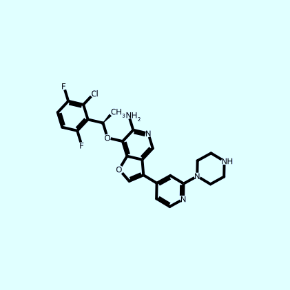 C[C@@H](Oc1c(N)ncc2c(-c3ccnc(N4CCNCC4)c3)coc12)c1c(F)ccc(F)c1Cl